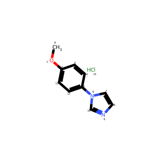 COc1ccc(-n2ccnc2)cc1.Cl